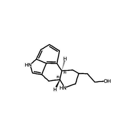 OCCC1CN[C@@H]2Cc3c[nH]c4cccc(c34)[C@H]2C1